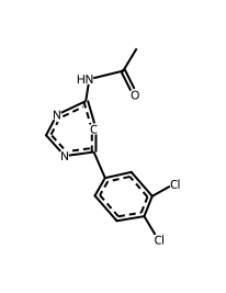 CC(=O)Nc1cc(-c2ccc(Cl)c(Cl)c2)ncn1